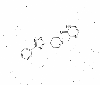 O=c1[nH]ccnc1CN1CCC(c2nc(-c3ccccc3)no2)CC1